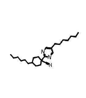 CCCCCCCc1cnc(C2(C#N)CCC(CCCCCC)CC2)nc1